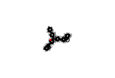 c1ccc(-c2ccc(N(c3ccc(-c4ccc5oc6ccccc6c5c4)cc3)c3ccc(-c4cc5ccccc5s4)cc3)cc2)cc1